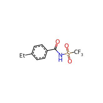 CCc1ccc(C(=O)NS(=O)(=O)C(F)(F)F)cc1